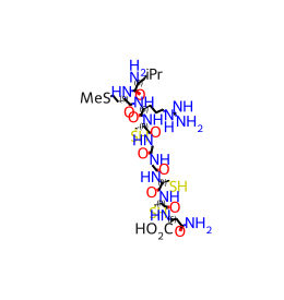 CSCC[C@H](NC(=O)[C@@H](N)CC(C)C)C(=O)N[C@@H](CCCNC(=N)N)C(=O)N[C@@H](CS)C(=O)NCC(=O)NCC(=O)N[C@@H](CS)C(=O)N[C@@H](CS)C(=O)N[C@@H](CC(N)=O)C(=O)O